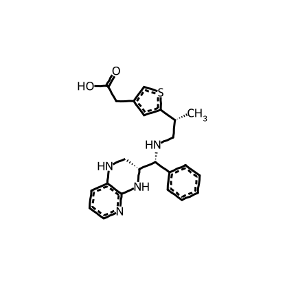 C[C@H](CN[C@H](c1ccccc1)[C@H]1CNc2cccnc2N1)c1cc(CC(=O)O)cs1